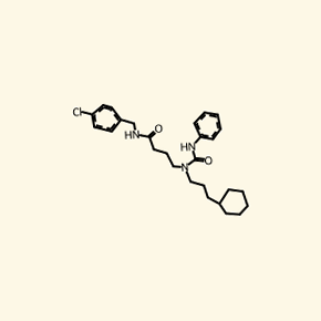 O=C(CCCN(CCCC1CCCCC1)C(=O)Nc1ccccc1)NCc1ccc(Cl)cc1